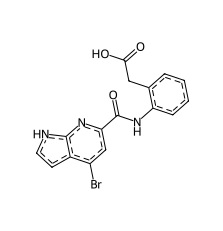 O=C(O)Cc1ccccc1NC(=O)c1cc(Br)c2cc[nH]c2n1